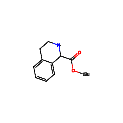 CC(C)(C)OC(=O)C1[N]CCc2ccccc21